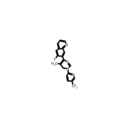 CC1=C(c2cc3ncccc3cc2F)N=CN(c2ccc(C(F)(F)F)cn2)C1